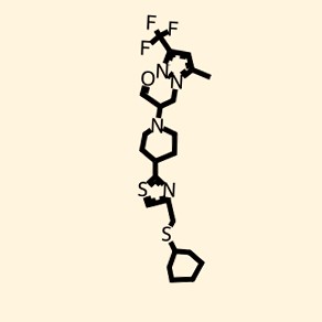 Cc1cc(C(F)(F)F)nn1CC(C=O)N1CCC(c2nc(CSC3CCCCC3)cs2)CC1